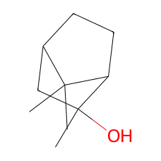 CC1(O)CC2CCC1C2(C)C